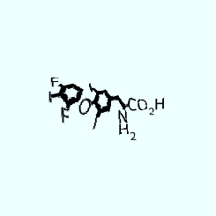 N[C@@H](Cc1cc(I)c(Oc2ccc(F)c(I)c2F)c(I)c1)C(=O)O